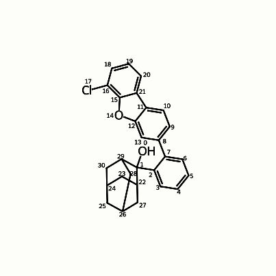 OC1(c2ccccc2-c2ccc3c(c2)oc2c(Cl)cccc23)C2CC3CC(C2)CC1C3